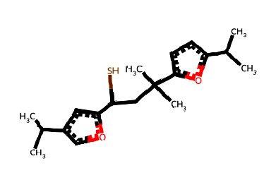 CC(C)c1coc(C(S)CC(C)(C)c2ccc(C(C)C)o2)c1